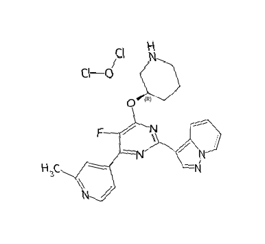 Cc1cc(-c2nc(-c3cnn4ccccc34)nc(O[C@@H]3CCCNC3)c2F)ccn1.ClOCl